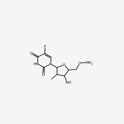 CC1C(N=O)C(CON)OC1n1cc(F)c(=O)[nH]c1=O